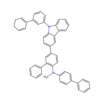 CN(c1ccc(-c2ccccc2)cc1)c1ccc(-c2ccc3c(c2)c2ccccc2n3-c2cccc(C3=CCCC=C3)c2)cc1-c1ccccc1